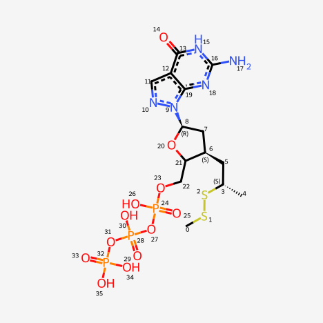 CSS[C@@H](C)C[C@@H]1C[C@H](n2ncc3c(=O)[nH]c(N)nc32)OC1COP(=O)(O)OP(=O)(O)OP(=O)(O)O